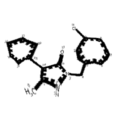 Cc1[nH]n(Cc2cccc(Cl)c2)c(=O)c1-c1ccccc1